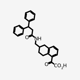 O=C(CC(c1ccccc1)c1ccccc1)NCC1CCc2c(cccc2C(=O)C(=O)O)C1